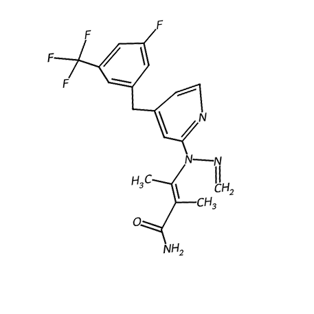 C=NN(/C(C)=C(\C)C(N)=O)c1cc(Cc2cc(F)cc(C(F)(F)F)c2)ccn1